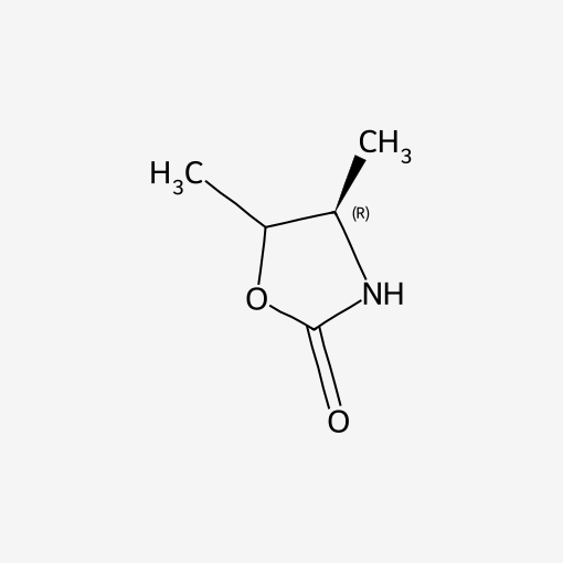 CC1OC(=O)N[C@@H]1C